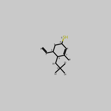 C=CC1CC(S)C=C(C)C1CC(C)(C)C